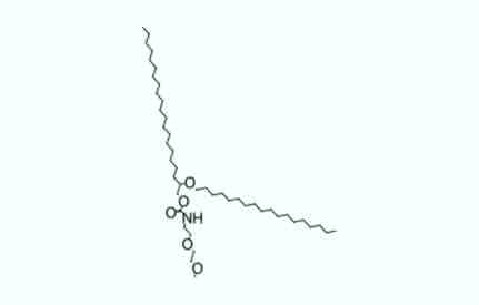 CCCCCCCCCCCCCCCCCCCC(COC(=O)NCCOCCOC)OCCCCCCCCCCCCCCCCCC